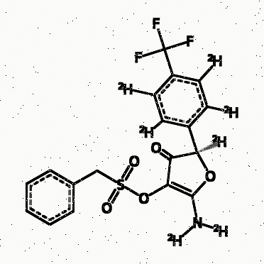 [2H]c1c([2H])c([C@@]2([2H])OC(N([2H])[2H])=C(OS(=O)(=O)Cc3ccccc3)C2=O)c([2H])c([2H])c1C(F)(F)F